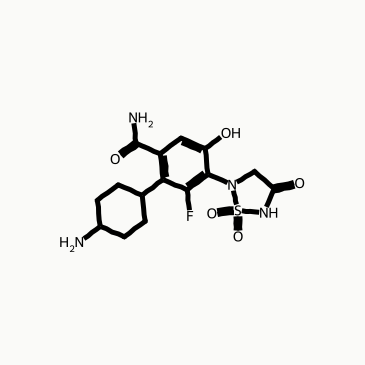 NC(=O)c1cc(O)c(N2CC(=O)NS2(=O)=O)c(F)c1C1CCC(N)CC1